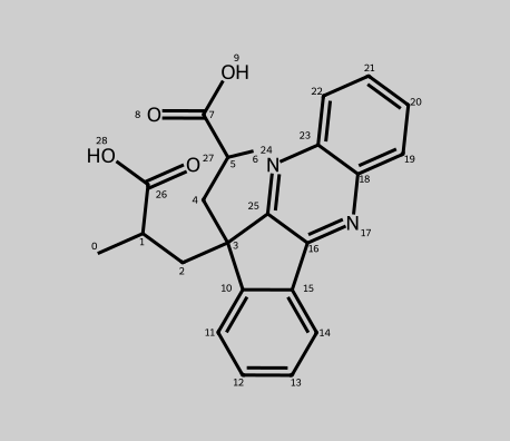 CC(CC1(CC(C)C(=O)O)c2ccccc2-c2nc3ccccc3nc21)C(=O)O